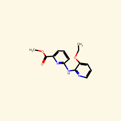 CCOc1cccnc1Nc1cccc(C(=O)OC)n1